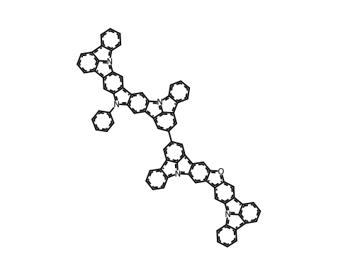 c1ccc(-n2c3cc4c5cccc6c7ccccc7n(c4cc3c3cc4c(cc32)c2cc(-c3cc7c8ccccc8n8c9cc%10c(cc9c(c3)c78)oc3cc7c8cccc9c%11ccccc%11n(c7cc3%10)c98)cc3c7ccccc7n4c32)c65)cc1